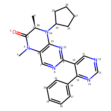 C[C@@H]1C(=O)N(C)c2cnc(-c3cncnc3-c3ccccc3)nc2N1C1CCCC1